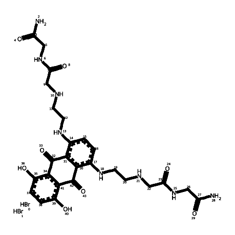 Br.Br.NC(=O)CNC(=O)CNCCNc1ccc(NCCNCC(=O)NCC(N)=O)c2c1C(=O)c1c(O)ccc(O)c1C2=O